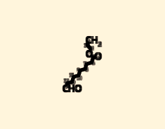 C=CCOC(=O)CCCCCCCCC=O